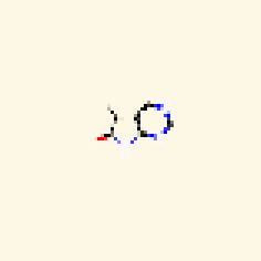 CC1C(=O)Nc2ncncc21